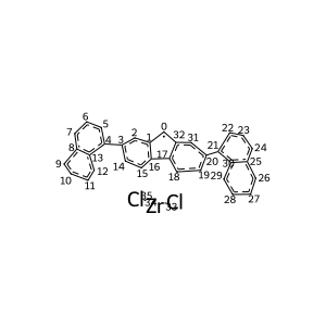 [CH]1c2cc(-c3cccc4ccccc34)ccc2-c2ccc(-c3cccc4ccccc34)cc21.[Cl][Zr][Cl]